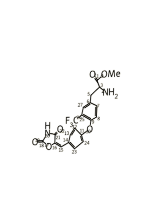 COC(=O)C(N)Cc1ccc(Oc2ccc(C=C3OC(=O)NC3=O)cc2)c(C(F)(F)F)c1